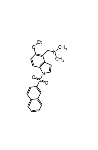 CCOc1ccc2c(ccn2S(=O)(=O)c2ccc3ccccc3c2)c1CN(C)C